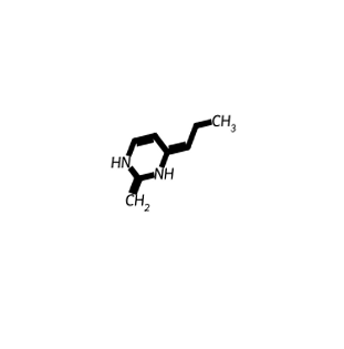 C=C1NC=C/C(=C\CC)N1